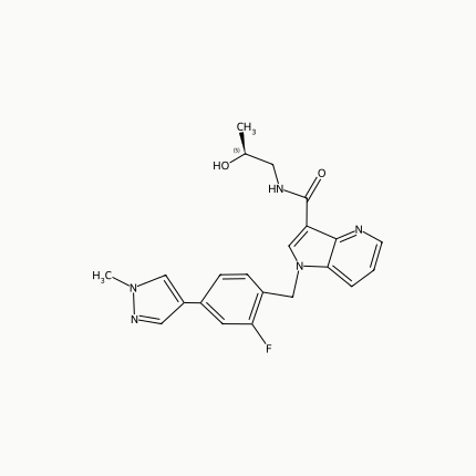 C[C@H](O)CNC(=O)c1cn(Cc2ccc(-c3cnn(C)c3)cc2F)c2cccnc12